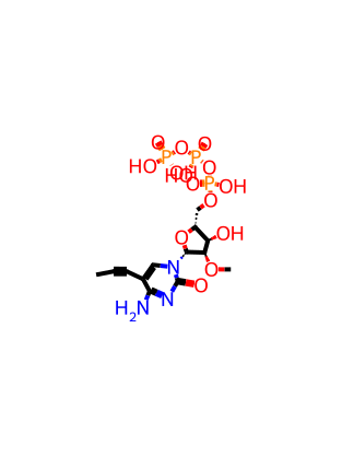 CC#Cc1cn([C@@H]2O[C@H](COP(=O)(O)OP(=O)(O)OP(=O)(O)O)[C@@H](O)[C@H]2OC)c(=O)nc1N